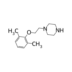 Cc1cccc(C)c1OCCN1CCNCC1